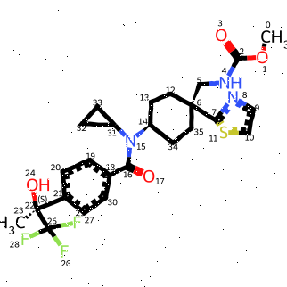 COC(=O)NC[C@]1(c2nccs2)CC[C@H](N(C(=O)c2ccc([C@](C)(O)C(F)(F)F)cc2)C2CC2)CC1